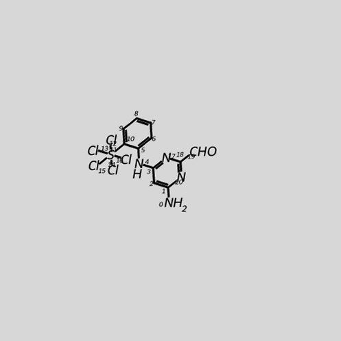 Nc1cc(Nc2ccccc2S(Cl)(Cl)(Cl)(Cl)Cl)nc(C=O)n1